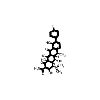 C[C@@H]1c2ccc(-c3ccc(F)cc3)c(O)c2C(=O)C2=C(O)[C@@]3(O)C(=O)C(C(N)=O)=C(O)[C@H](N(C)C)[C@H]3[C@H](O)[C@H]21